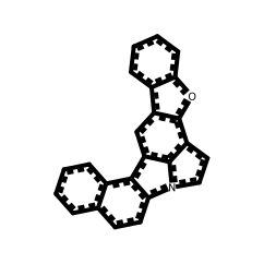 c1ccc2c(c1)ccc1c2c2cc3c4ccccc4oc3c3ccn1c32